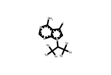 [2H]C([2H])([2H])C(n1cc(I)c2c(N)ncnc21)C([2H])([2H])[2H]